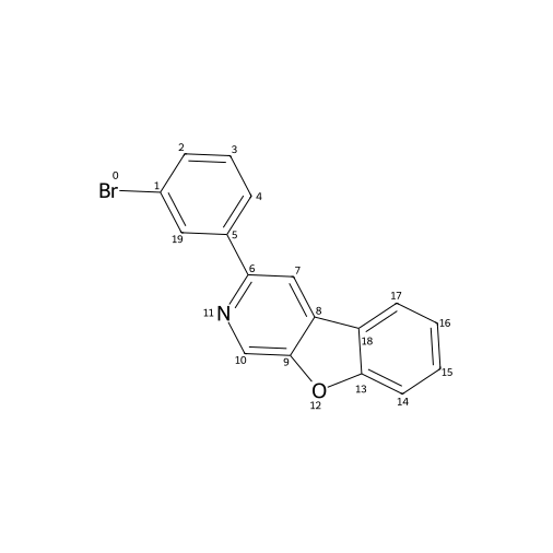 Brc1cccc(-c2cc3c(cn2)oc2ccccc23)c1